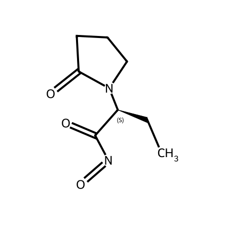 CC[C@@H](C(=O)N=O)N1CCCC1=O